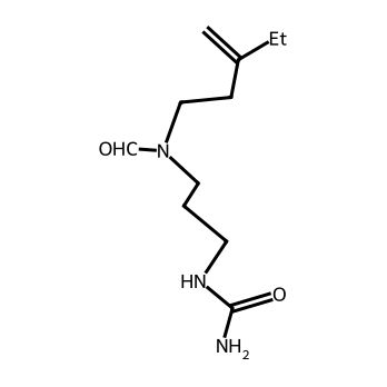 C=C(CC)CCN(C=O)CCCNC(N)=O